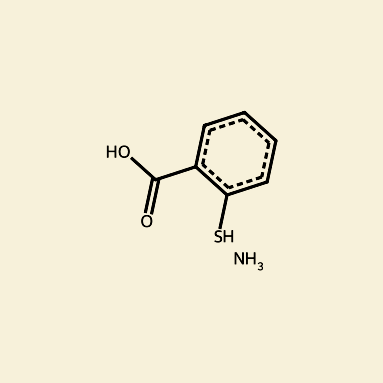 N.O=C(O)c1ccccc1S